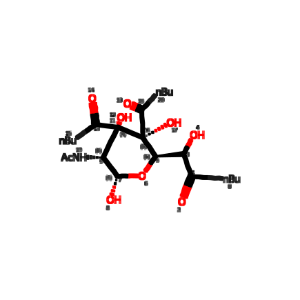 CCCCC(=O)C(O)[C@H]1O[C@H](O)[C@H](NC(C)=O)[C@](O)(C(=O)CCCC)[C@@]1(O)C(=O)CCCC